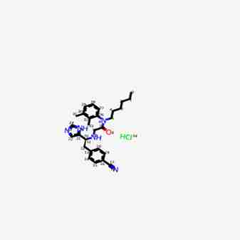 CCCCCCN(C(=O)CN[C@@H](Cc1ccc(C#N)cc1)c1cnc[nH]1)c1cccc(C)c1C.Cl